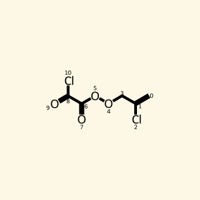 C=C(Cl)COOC(=O)C(=O)Cl